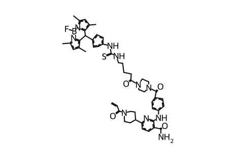 C=CC(=O)N1CCC(c2ccc(C(N)=O)c(Nc3ccc(C(=O)N4CCN(C(=O)CCCCNC(=S)Nc5ccc(C6c7c(C)cc(C)n7B(F)n7c(C)cc(C)c76)cc5)CC4)cc3)n2)CC1